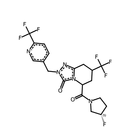 O=C(C1CC(C(F)(F)F)Cc2nn(Cc3ccc(C(F)(F)F)nc3)c(=O)n21)N1CC[C@H](F)C1